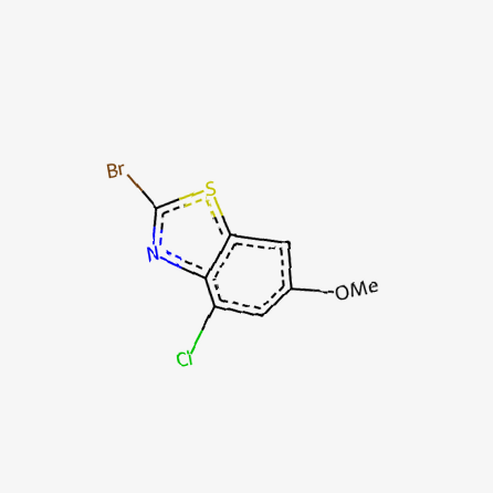 COc1cc(Cl)c2nc(Br)sc2c1